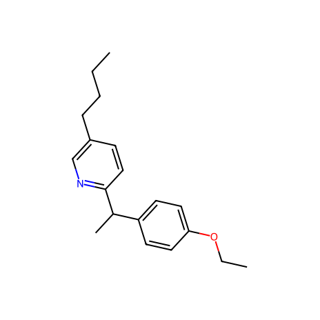 CCCCc1ccc(C(C)c2ccc(OCC)cc2)nc1